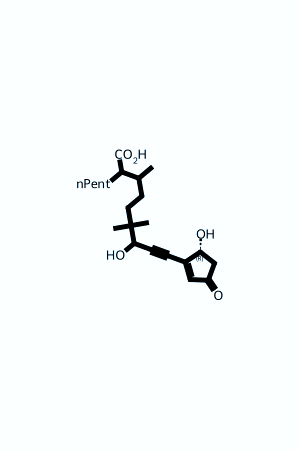 CCCCCC(C(=O)O)C(C)CCC(C)(C)C(O)C#CC1=CC(=O)C[C@H]1O